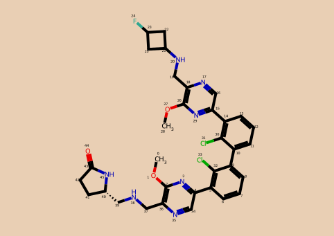 COc1nc(-c2cccc(-c3cccc(-c4cnc(CNC5CC(F)C5)c(OC)n4)c3Cl)c2Cl)cnc1CNC[C@@H]1CCC(=O)N1